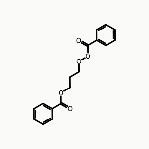 O=C(OCCCOOC(=O)c1ccccc1)c1ccccc1